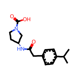 CC(C)c1ccc(CC(=O)N[C@@H]2CCN(C(=O)O)C2)cc1